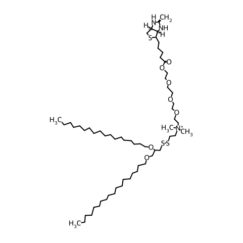 C=C1N[C@H]2CSC(CCCCC(=O)OCCOCCOCCOCC[N+](C)(C)CCSSCC(COCCCCCCCCCCCCCCCCCC)OCCCCCCCCCCCCCCCCCC)[C@H]2N1